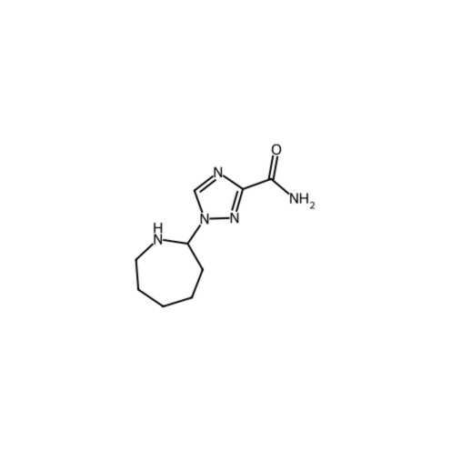 NC(=O)c1ncn(C2CCCCCN2)n1